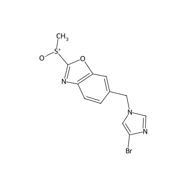 C[S+]([O-])c1nc2ccc(Cn3cnc(Br)c3)cc2o1